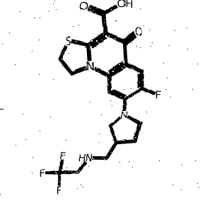 O=C(O)c1c2n(c3cc(N4CCC(CNCC(F)(F)F)C4)c(F)cc3c1=O)CCS2